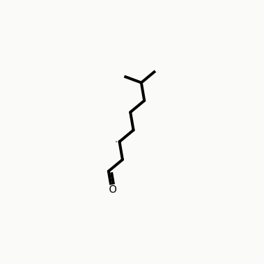 CC(C)CCC[CH]CC=O